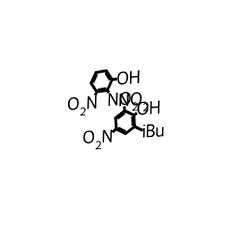 CCC(C)c1cc([N+](=O)[O-])cc([N+](=O)[O-])c1O.O=[N+]([O-])c1cccc(O)c1[N+](=O)[O-]